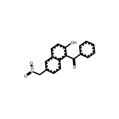 O=C(c1ccccc1)c1c(O)ccc2cc(C[SH](=O)=O)ccc12